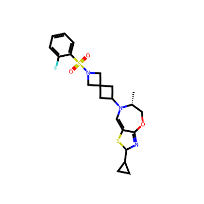 C[C@@H]1COC2=NC(C3CC3)SC2=CN1C1CC2(C1)CN(S(=O)(=O)c1ccccc1F)C2